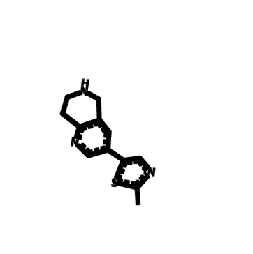 Cc1ncc(-c2cnc3c(c2)CNCC3)s1